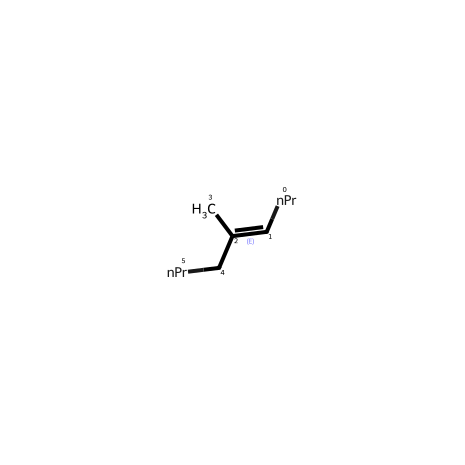 [CH2]CC/C=C(\C)CCCC